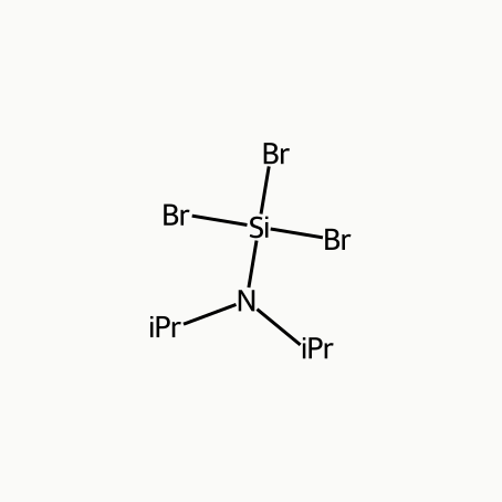 CC(C)N(C(C)C)[Si](Br)(Br)Br